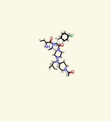 CCC(N)C(=O)N(CC)[C@H](Cc1ccc(Cl)cc1)C(=O)N1CCN(N(CC(C)C)C2CCN(C(C)=O)CC2)CC1